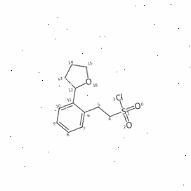 O=S(=O)(Cl)CCc1ccccc1C1CCCO1